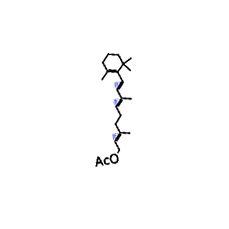 CC(=O)OC/C=C(\C)CC/C=C(C)/C=C/C1=C(C)CCCC1(C)C